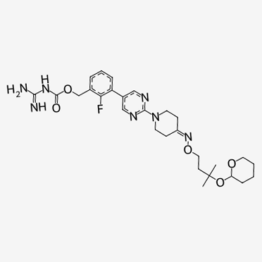 CC(C)(CCON=C1CCN(c2ncc(-c3cccc(COC(=O)NC(=N)N)c3F)cn2)CC1)OC1CCCCO1